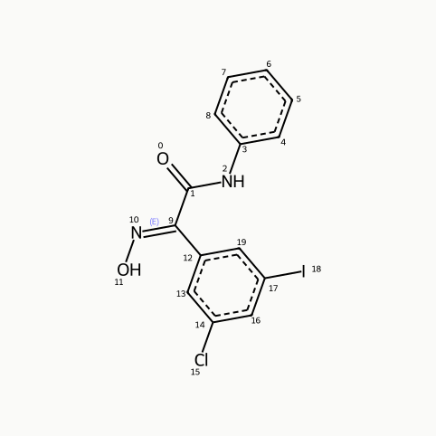 O=C(Nc1ccccc1)/C(=N/O)c1cc(Cl)cc(I)c1